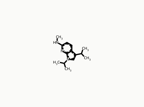 CNc1ccc2c(C(C)C)cn(C(C)C)c2n1